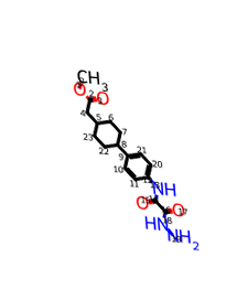 COC(=O)CC1CCC(c2ccc(NC(=O)C(=O)NN)cc2)CC1